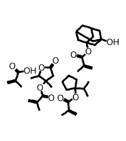 C=C(C)C(=O)O.C=C(C)C(=O)OC1(C(C)C)CCCC1.C=C(C)C(=O)OC1(C)CC(=O)OC1C.C=C(C)C(=O)OC12CC3CC(CC(O)(C3)C1)C2